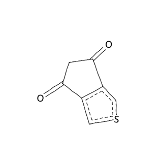 O=C1CC(=O)c2cscc21